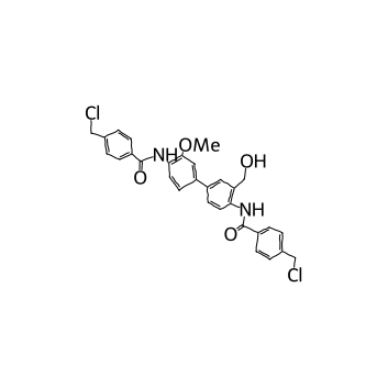 COc1cc(-c2ccc(NC(=O)c3ccc(CCl)cc3)c(CO)c2)ccc1NC(=O)c1ccc(CCl)cc1